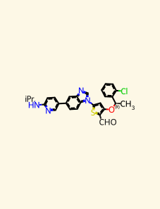 CC(C)Nc1ccc(-c2ccc3c(c2)ncn3-c2cc(O[C@H](C)c3ccccc3Cl)c(C=O)s2)cn1